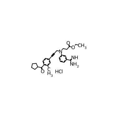 CCOC(=O)CCN(CC#Cc1ccc(C(=O)C2CCCC2)c(C)c1)c1cccc(C(=N)N)c1.Cl